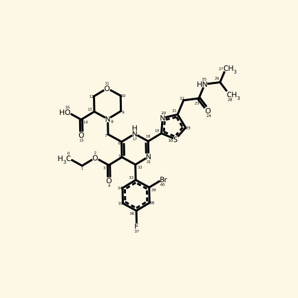 CCOC(=O)C1=C(CN2CCOCC2C(=O)O)NC(c2nc(CC(=O)NC(C)C)cs2)=NC1c1ccc(F)cc1Br